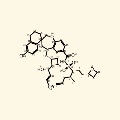 C=CC[C@H](C)[C@@H](CC[C@H]1CCO1)S(=O)(=O)NC(=O)c1ccc2c(c1)N(C[C@@H]1CC[C@H]1[C@@H](O)/C=C/CCC)C[C@@]1(CCCc3cc(Cl)ccc31)CO2